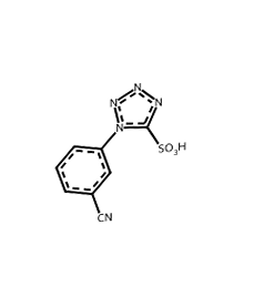 N#Cc1cccc(-n2nnnc2S(=O)(=O)O)c1